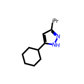 CC(C)c1cc(C2CCCCC2)[nH]n1